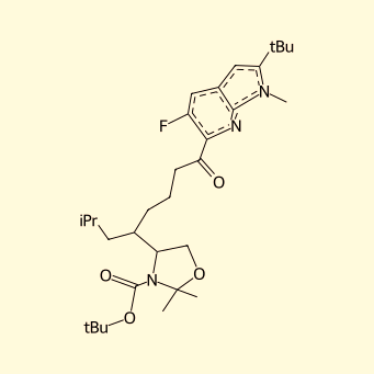 CC(C)CC(CCCC(=O)c1nc2c(cc1F)cc(C(C)(C)C)n2C)C1COC(C)(C)N1C(=O)OC(C)(C)C